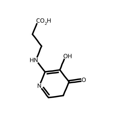 O=C(O)CCNC1=C(O)C(=O)CC=N1